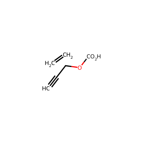 C#CCOC(=O)O.C=C